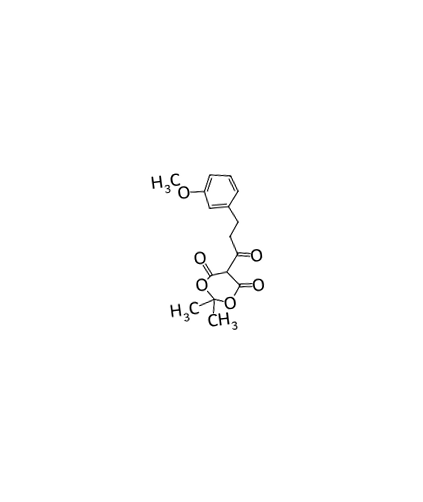 COc1cccc(CCC(=O)C2C(=O)OC(C)(C)OC2=O)c1